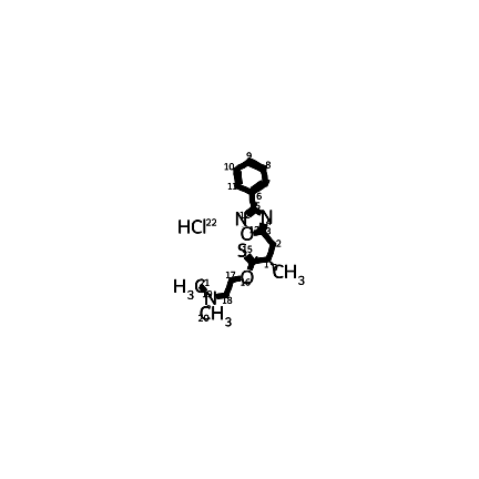 C[C@@H](Cc1nc(-c2ccccc2)no1)C(=S)OCCN(C)C.Cl